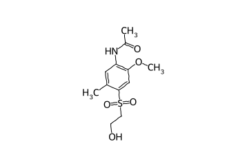 COc1cc(S(=O)(=O)CCO)c(C)cc1NC(C)=O